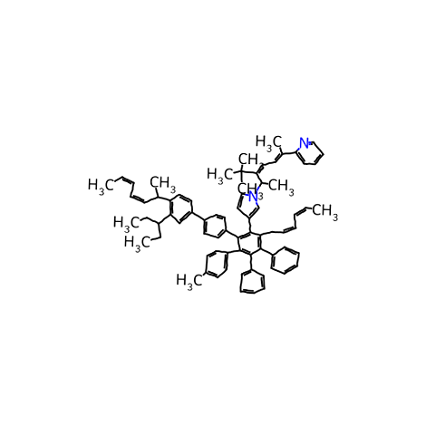 C/C=C\C=C/Cc1c(-c2ccccc2)c(-c2ccccc2)c(-c2ccc(C)cc2)c(-c2ccc(-c3ccc(C(C)/C=C\C=C/C)c(C(CC)CC)c3)cc2)c1-c1ccn(C(C)/C(=C\C=C(/C)c2ccccn2)C(C)(C)C)c1